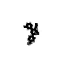 Cc1cccc(C(CC(=O)c2ccc(Cl)cc2)C(C#N)C#N)c1